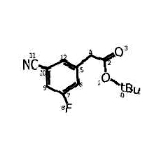 CC(C)(C)OC(=O)Cc1cc(F)cc(C#N)c1